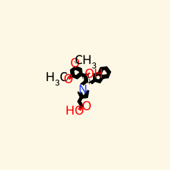 COc1cc(OC)cc([C@@H](O)[C@H](CC2Cc3ccccc3C2)Cn2ccc(CC(=O)O)c2)c1